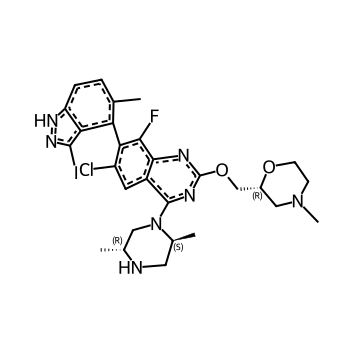 Cc1ccc2[nH]nc(I)c2c1-c1c(Cl)cc2c(N3C[C@@H](C)NC[C@@H]3C)nc(OC[C@H]3CN(C)CCO3)nc2c1F